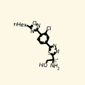 CCCCCCc1nc(-c2ccc(-c3nnc([C@@](C)(N)CO)s3)cc2Cl)no1